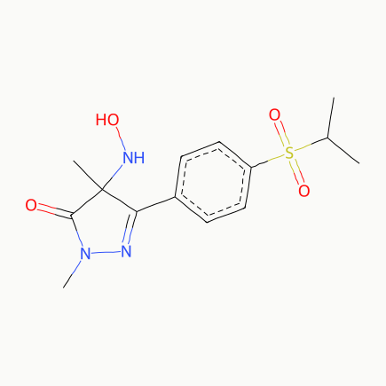 CC(C)S(=O)(=O)c1ccc(C2=NN(C)C(=O)C2(C)NO)cc1